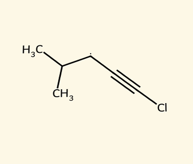 CC(C)[CH]C#CCl